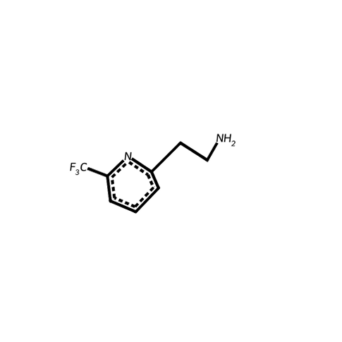 NCCc1cccc(C(F)(F)F)n1